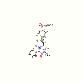 CCN(C(=O)C(c1ccccc1)N1CC=C(c2ccc(C(=O)OC)cc2F)CC1)C(C)C